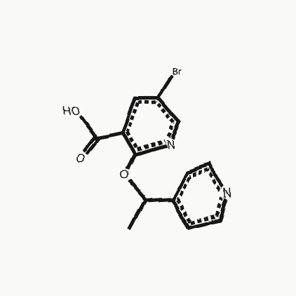 CC(Oc1ncc(Br)cc1C(=O)O)c1ccncc1